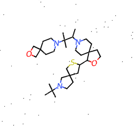 CC(N1CCC2(CCOC2C2CC3(CCN(C(C)(C)C)C3)CS2)CC1)C(C)(C)N1CCC2(CC1)COC2